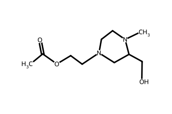 CC(=O)OCCN1CCN(C)C(CO)C1